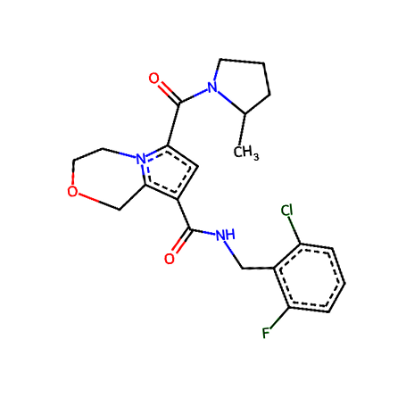 CC1CCCN1C(=O)c1cc(C(=O)NCc2c(F)cccc2Cl)c2n1CCOC2